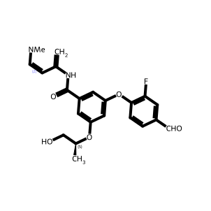 C=C(/C=C\NC)NC(=O)c1cc(Oc2ccc(C=O)cc2F)cc(O[C@@H](C)CO)c1